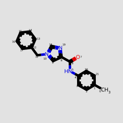 Cc1ccc(NC(=O)c2cn(Cc3ccccc3)cn2)cc1